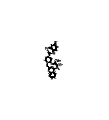 COC(=O)[C@@H](Nc1nc(CN2CCN(C(=O)Nc3ccc(Cl)cc3C(F)(F)F)CC2)nc2ccccc12)C(C)C